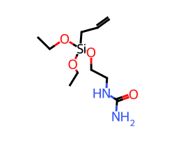 C=CC[Si](OCC)(OCC)OCCNC(N)=O